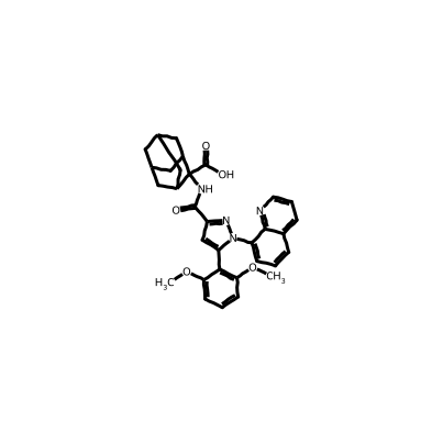 COc1cccc(OC)c1-c1cc(C(=O)NC2(C(=O)O)C3CC4CC(C3)CC2C4)nn1-c1cccc2cccnc12